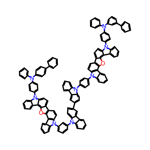 c1ccc(-c2ccc(N(c3ccccc3)c3ccc(-n4c5ccccc5c5c6oc7c(ccc8c7c7ccccc7n8-c7cccc(-n8c9ccccc9c9cc(-c%10ccc%11c(c%10)c%10ccccc%10n%11-c%10ccc(-n%11c%12ccccc%12c%12c%13oc%14c(ccc%15c%14c%14ccccc%14n%15-c%14ccc(N(c%15ccccc%15)c%15cccc(-c%16ccccc%16)c%15)cc%14)c%13ccc%12%11)cc%10)ccc98)c7)c6ccc54)cc3)cc2)cc1